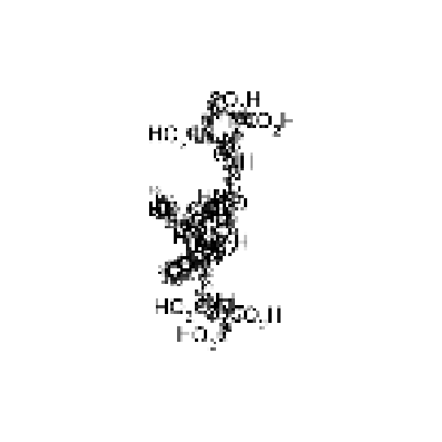 O=C(O)CCC(NC(=O)NC(CCCCNC(=O)C(Cc1ccc2ccccc2c1)NC(=O)C1CCC(CNC(=O)C(CCCCNC(=O)CN2CCN(CC(=O)O)CCN(CC(=O)O)CCN(CC(=O)O)CC2)NC(=O)CC(NC(=O)CC(NC(=O)CCCc2ccc(I)cc2)C(=O)O)C(=O)O)CC1)C(=O)O)C(=O)O